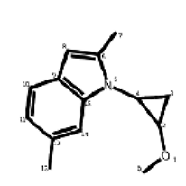 COC1CC1n1c(C)cc2ccc(C)cc21